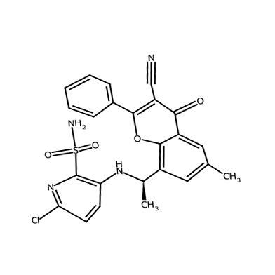 Cc1cc([C@@H](C)Nc2ccc(Cl)nc2S(N)(=O)=O)c2oc(-c3ccccc3)c(C#N)c(=O)c2c1